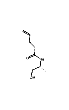 C=CCCC(=O)N[C@H](C)CO